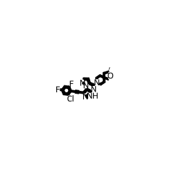 C[C@H]1CC2(CCN(c3nc4[nH]nc(C#Cc5c(F)cc(F)cc5Cl)c4n4nccc34)CC2)CO1